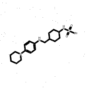 CC(C)S(=O)(=O)NC1CCC(CNc2ccc(N3CCCCC3)cc2)CC1